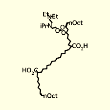 CCCCCCCC/C=C\CCCCCCC(CCCCCCCCCCCCCC(CCCCC(C/C=C\CCCCCCCC)OC(=O)OCCN(CCN(CC)CC)C(C)C)C(=O)O)C(=O)O